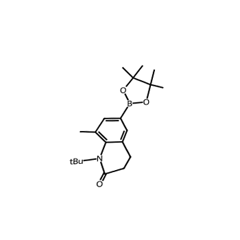 Cc1cc(B2OC(C)(C)C(C)(C)O2)cc2c1N(C(C)(C)C)C(=O)CC2